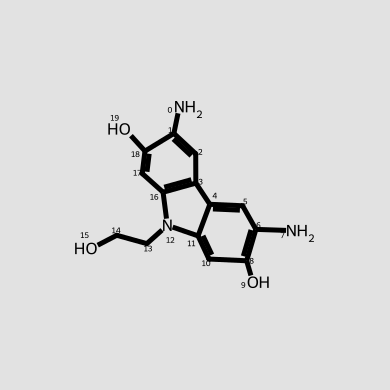 Nc1cc2c3cc(N)c(O)cc3n(CCO)c2cc1O